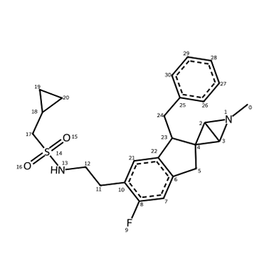 CN1C2C1C21Cc2cc(F)c(CCNS(=O)(=O)CC3CC3)cc2C1Cc1ccccc1